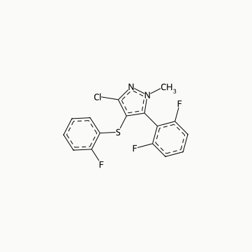 Cn1nc(Cl)c(Sc2ccccc2F)c1-c1c(F)cccc1F